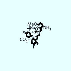 COc1ccc(N)c(CN(CCCc2c(Nc3cc(C(F)(F)F)c(F)cc3C(=O)O)ccc(F)c2F)C(=O)OC(C)(C)C)n1